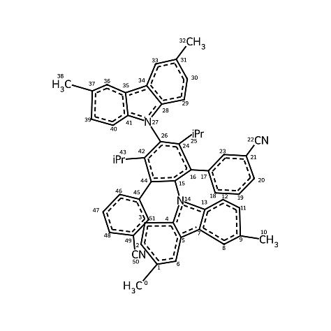 Cc1ccc2c(c1)c1cc(C)ccc1n2-c1c(-c2cccc(C#N)c2)c(C(C)C)c(-n2c3ccc(C)cc3c3cc(C)ccc32)c(C(C)C)c1-c1cccc(C#N)c1